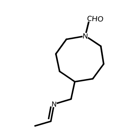 C/C=N/CC1CCCN(C=O)CCC1